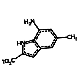 CCOC(=O)c1cc2cc(C)cc(N)c2[nH]1